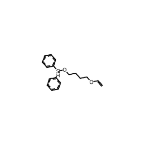 C=COCCCCO[SiH](c1ccccc1)c1ccccc1